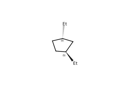 CC[C@H]1CC[C@H](CC)C1